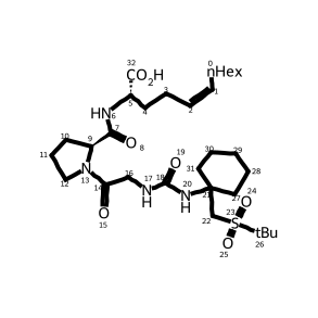 CCCCCC/C=C\CC[C@H](NC(=O)[C@@H]1CCCN1C(=O)CNC(=O)NC1(CS(=O)(=O)C(C)(C)C)CCCCC1)C(=O)O